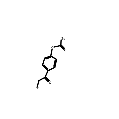 CC(C)(C)C(=O)Oc1ccc(C(=O)CBr)cc1